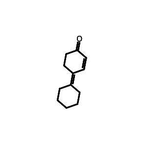 O=C1C=CC(=C2CCCCC2)CC1